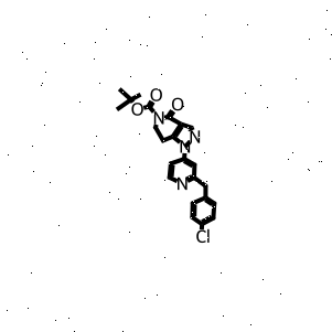 CC(C)(C)OC(=O)N1CCc2c(cnn2-c2ccnc(Cc3ccc(Cl)cc3)c2)C1=O